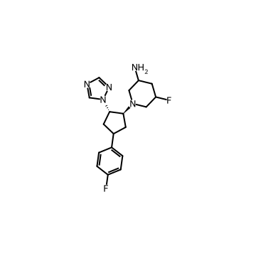 NC1CC(F)CN([C@H]2CC(c3ccc(F)cc3)C[C@@H]2n2cncn2)C1